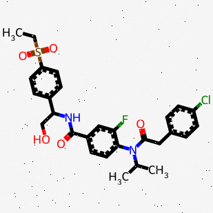 CCS(=O)(=O)c1ccc(C(CO)NC(=O)c2ccc(N(C(=O)Cc3ccc(Cl)cc3)C(C)C)c(F)c2)cc1